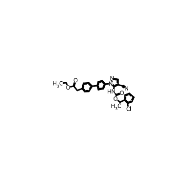 CCOC(=O)Cc1ccc(-c2ccc(-n3ncc(C#N)c3NC(=O)OC(C)c3ccccc3Cl)cc2)cc1